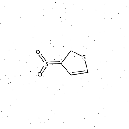 O=S(=O)=C1C=CSC1